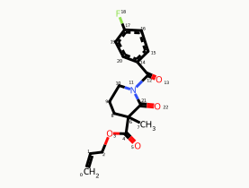 C=CCOC(=O)C1(C)CCCN(C(=O)c2ccc(F)cc2)C1=O